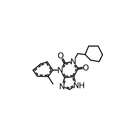 Cc1ccccc1-n1c(=O)n(CC2CCCCC2)c(=O)c2[nH]cnc21